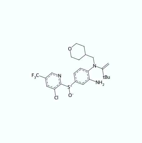 C=C(N(CC1CCOCC1)c1ccc([S+]([O-])c2ncc(C(F)(F)F)cc2Cl)cc1N)C(C)(C)C